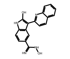 N=C(NO)c1ccc2[nH]c(O)c(-c3ccc4ccccc4n3)c2c1